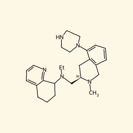 CCN(C[C@H]1Cc2c(cccc2N2CCNCC2)CN1C)C1CCCc2cccnc21